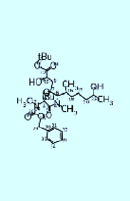 CC[C@H](C)[C@@H](C(=O)N(C)[C@H](C(=O)CC(O)C(=O)OC(C)(C)C)[C@@H](C)CCCC(C)O)N(C)C(=O)OCc1ccccc1